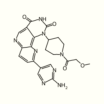 COCC(=O)N1CCC(n2c(=O)[nH]c(=O)c3cnc4ccc(-c5cnc(N)nc5)nc4c32)CC1